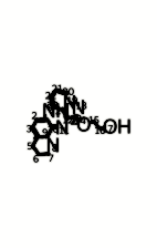 NC1=CC=C2CCCN=C2C1=Nc1c(OCCO)nn2ccccc12